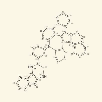 C1=CC2=C(CC1)c1c(n(-c3ccccc3)c3ccc4ccccc4c13)-c1ccccc1N2c1cccc(C2CNc3oc4ccccc4c3N2)c1